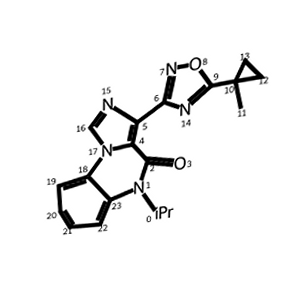 CC(C)n1c(=O)c2c(-c3noc(C4(C)CC4)n3)ncn2c2ccccc21